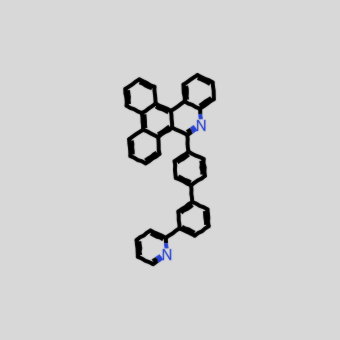 c1ccc(-c2cccc(-c3ccc(-c4nc5ccccc5c5c6ccccc6c6ccccc6c45)cc3)c2)nc1